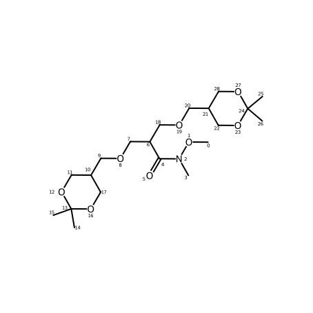 CON(C)C(=O)C(COCC1COC(C)(C)OC1)COCC1COC(C)(C)OC1